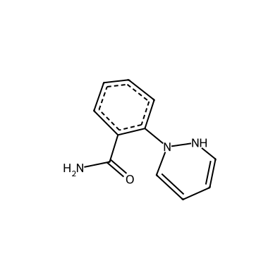 NC(=O)c1ccccc1N1C=CC=CN1